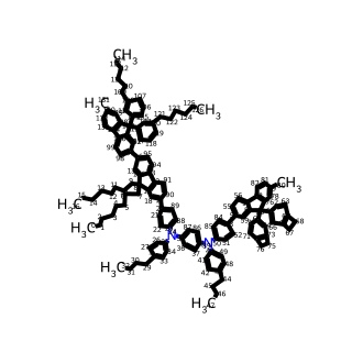 CCCCCCCCC1(CCCCCCCC)c2cc(-c3ccc(N(c4ccc(CCCC)cc4)c4ccc(N(c5ccc(CCCC)cc5)c5ccc(-c6ccc7c(c6)C(c6ccc8c(c6)CC8)(c6ccc8c(c6)CC8)c6cc(C)ccc6-7)cc5)cc4)cc3)ccc2-c2ccc(-c3ccc4c(c3)C(c3cccc(CCCCCC)c3)(c3cccc(CCCCCC)c3)c3cc(C)ccc3-4)cc21